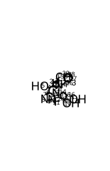 Cc1cc(C(O)c2cncnc2N[C@@H]2C[C@H](CO)[C@@H](O)[C@@H]2F)cn1Cc1ccccc1